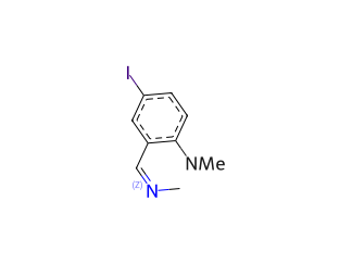 C/N=C\c1cc(I)ccc1NC